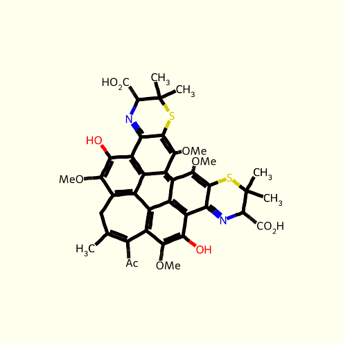 COc1c(O)c2c3c(c(OC)c4c5c(OC)c6c(c7c(O)c(OC)c8c(c(c1CC(C)=C8C(C)=O)c24)c75)=NC(C(=O)O)C(C)(C)S6)SC(C)(C)C(C(=O)O)N=3